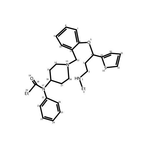 CCNCCC(Oc1ccccc1CN1CCC(N(C(=O)CC)c2ccccc2)CC1)c1cccs1